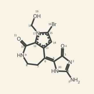 NC1=NC(=O)C(=C2CCNC(=O)c3c2cc(Br)n3CO)N1